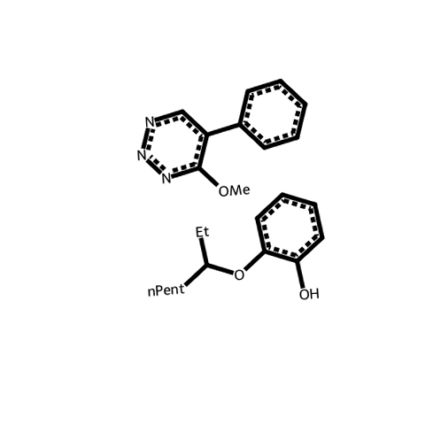 CCCCCC(CC)Oc1ccccc1O.COc1nnncc1-c1ccccc1